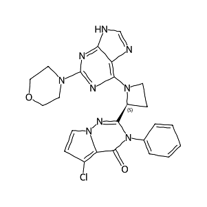 O=c1c2c(Cl)ccn2nc([C@@H]2CCN2c2nc(N3CCOCC3)nc3[nH]cnc23)n1-c1ccccc1